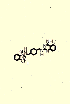 Nc1nc(NCC2CCC(CNS(=O)(=O)c3ccccc3C(F)(F)F)CC2)nc2ccccc12